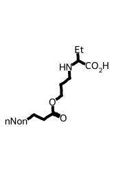 CCCCCCCCCCCC(=O)OCCCNC(CC)C(=O)O